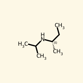 CC[C@H](C)NC(C)C